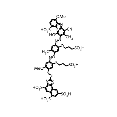 COc1cc(N=Nc2cc(OCCCS(=O)(=O)O)c(N=Nc3c(C)c(C#N)c4nc5c(OC)ccc(S(=O)(=O)O)c5n4c3O)cc2C)c(SCCCS(=O)(=O)O)cc1N=Nc1nc2c(S(=O)(=O)O)cc3c(S(=O)(=O)O)cc(S(=O)(=O)O)cc3c2s1